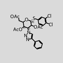 CC(=O)OCC1O[C@H](Sc2ccc(Cl)c(Cl)c2)C(OC(C)=O)[C@@H](n2cc(-c3ccccc3)nn2)[C@H]1OC(C)=O